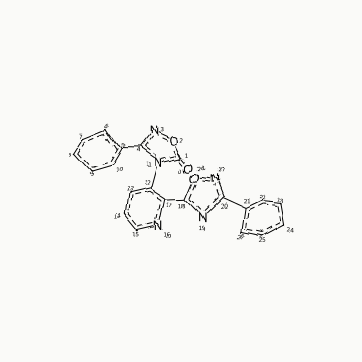 O=c1onc(-c2ccccc2)n1-c1cccnc1-c1nc(-c2ccccc2)no1